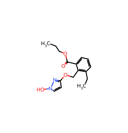 CCCOC(=O)c1cccc(CC)c1COc1ccn(O)n1